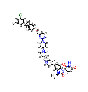 Cn1c(=O)n(C2CCC(=O)NC2=O)c2ccc(C3CCN(CC4CCN(C5CCN(c6nccc(COc7ccc(C(C)(C)c8cc(Cl)cc(C#N)c8)cc7)n6)CC5)CC4)CC3)cc21